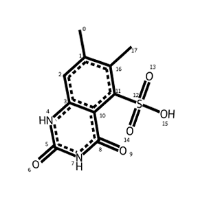 Cc1cc2[nH]c(=O)[nH]c(=O)c2c(S(=O)(=O)O)c1C